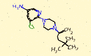 C=C(CC(C)(C)C)N1CCN(c2ncc(N)cc2Cl)CC1